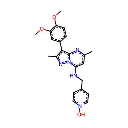 COc1ccc(-c2c(C)nn3c(NCc4cc[n+](O)cc4)cc(C)nc23)cc1OC